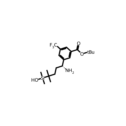 CC(C)(C)OC(=O)c1cc([C@H](N)CCC(C)(C)[Si](C)(C)O)cc(C(F)(F)F)c1